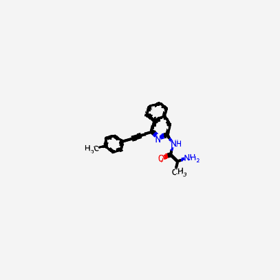 Cc1ccc(C#Cc2nc(NC(=O)C(C)N)cc3ccccc23)cc1